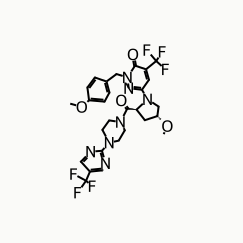 COc1ccc(Cn2nc(N3C[C@H](OC)C[C@H]3C(=O)N3CCN(c4ncc(C(F)(F)F)cn4)CC3)cc(C(F)(F)F)c2=O)cc1